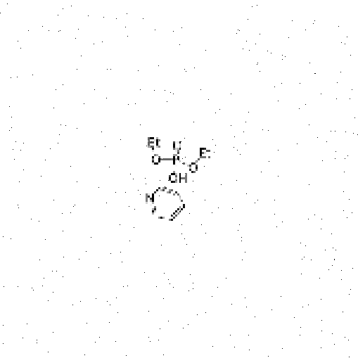 CCOP(=O)(O)OCC.c1ccncc1